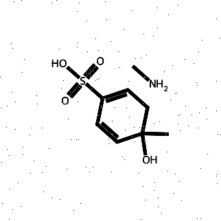 CC1(O)C=CC(S(=O)(=O)O)=CC1.CN